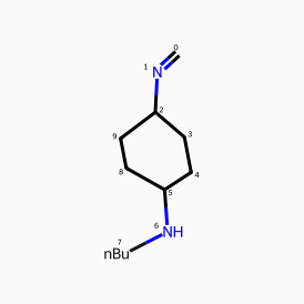 C=NC1CCC(NCCCC)CC1